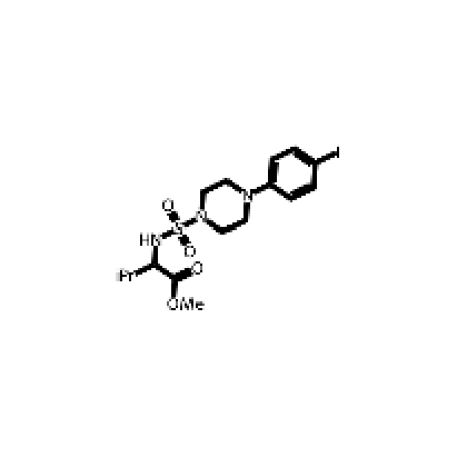 COC(=O)C(NS(=O)(=O)N1CCN(c2ccc(I)cc2)CC1)C(C)C